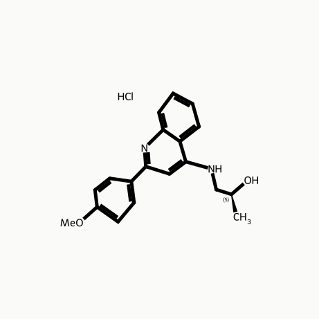 COc1ccc(-c2cc(NC[C@H](C)O)c3ccccc3n2)cc1.Cl